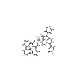 c1ccc(-c2ccc3c4c2ccc2c(-c5ccc([Si](c6ccccc6)(c6ccccc6)c6ccccc6)cc5)ccc(c24)n3-c2ccccc2)cc1